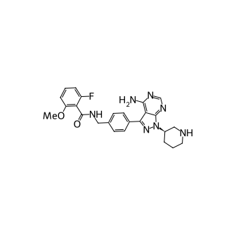 COc1cccc(F)c1C(=O)NCc1ccc(-c2nn([C@@H]3CCCNC3)c3ncnc(N)c23)cc1